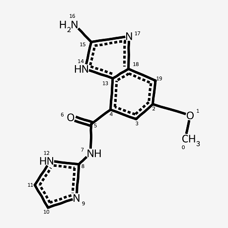 COc1cc(C(=O)Nc2ncc[nH]2)c2[nH]c(N)nc2c1